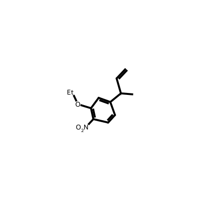 C=C[C](C)c1ccc([N+](=O)[O-])c(OCC)c1